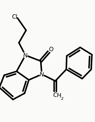 C=C(c1ccccc1)n1c(=O)n(CCCl)c2ccccc21